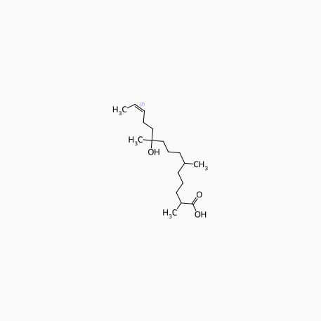 C/C=C\CCC(C)(O)CCCC(C)CCCC(C)C(=O)O